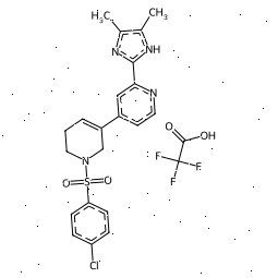 Cc1nc(-c2cc(C3=CCCN(S(=O)(=O)c4ccc(Cl)cc4)C3)ccn2)[nH]c1C.O=C(O)C(F)(F)F